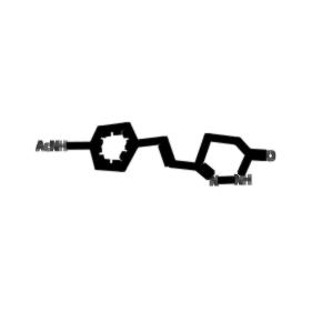 CC(=O)Nc1ccc(C=CC2=NNC(=O)CC2)cc1